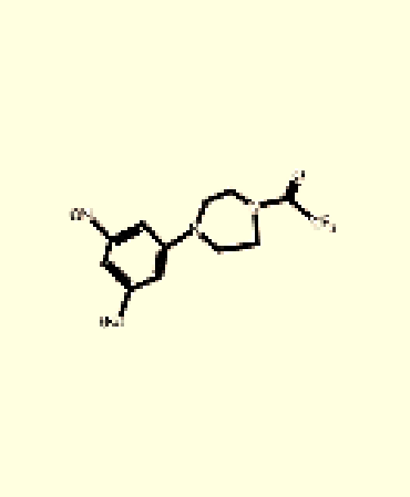 CC(C)(C)c1cc(N=O)cc(N2CCN(C(=O)C(F)(F)F)CC2)c1